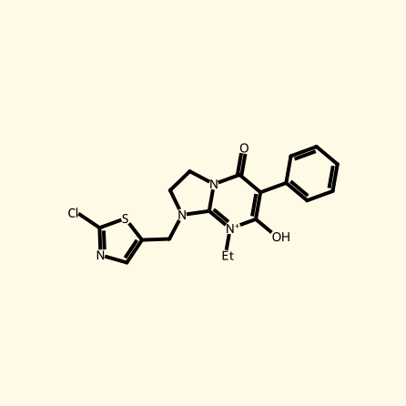 CC[n+]1c(O)c(-c2ccccc2)c(=O)n2c1N(Cc1cnc(Cl)s1)CC2